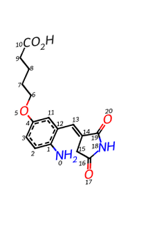 Nc1ccc(OCCCCC(=O)O)cc1/C=C1\CC(=O)NC1=O